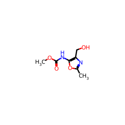 COC(=O)Nc1oc(C)nc1CO